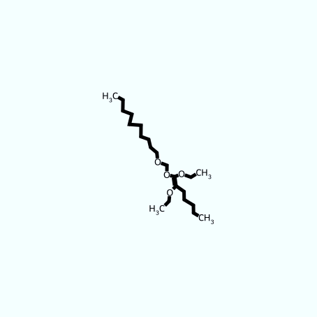 CCCCCCCCCCOCOC(OCC)=C(CCCCC)OCC